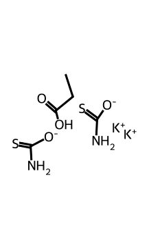 CCC(=O)O.NC([O-])=S.NC([O-])=S.[K+].[K+]